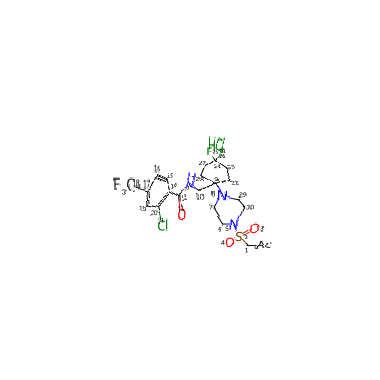 CC(=O)CS(=O)(=O)N1CCN(C2(CNC(=O)c3ccc(C(F)(F)F)cc3Cl)CCC(F)(F)CC2)CC1.Cl